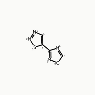 [c]1nnsc1-c1ncon1